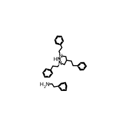 NCCc1ccccc1.c1ccc(CCC2CN(CCc3ccccc3)NN(CCc3ccccc3)C2)cc1